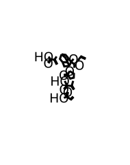 C=C(C)C(=O)O.C=C(C)C(=O)O.C=CC(=O)O.C=CC(=O)OC1(CC)C2CC3CC(C2)CC1C3.O=C1CCCO1